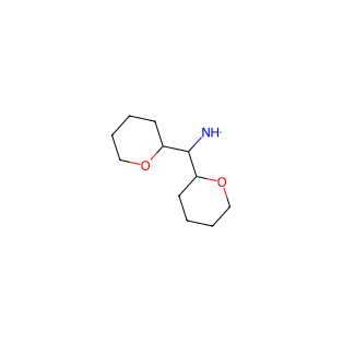 [NH]C(C1CCCCO1)C1CCCCO1